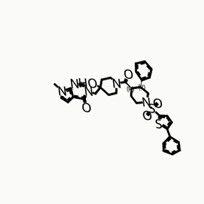 Cn1ccc2c(=O)n(CC3(O)CCN(C(=O)[C@@H]4CCN(S(=O)(=O)c5ccc(-c6ccccc6)s5)C[C@H]4c4ccccc4)CC3)cnc21